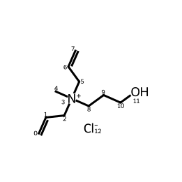 C=CC[N+](C)(CC=C)CCCO.[Cl-]